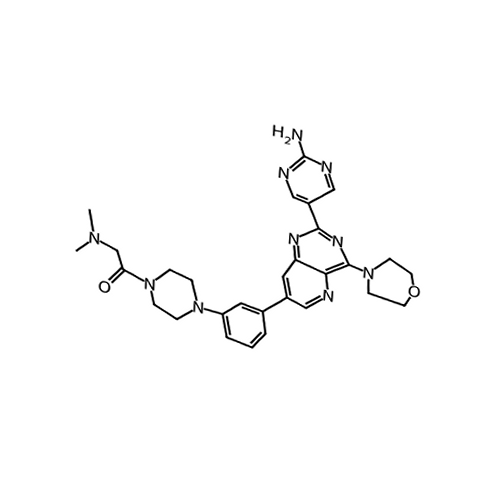 CN(C)CC(=O)N1CCN(c2cccc(-c3cnc4c(N5CCOCC5)nc(-c5cnc(N)nc5)nc4c3)c2)CC1